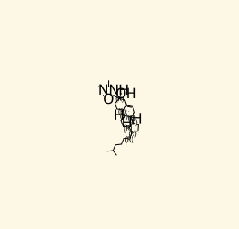 CC(C)CCC[C@@H](C)[C@H]1CC[C@H]2[C@@H]3CC=C4C[C@@](O)(C(=O)NC(C)N(C)C)CC[C@]4(C)[C@H]3CC[C@]12C